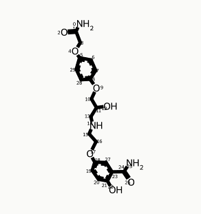 NC(=O)COc1ccc(OCC(O)CNCCOc2ccc(O)c(C(N)=O)c2)cc1